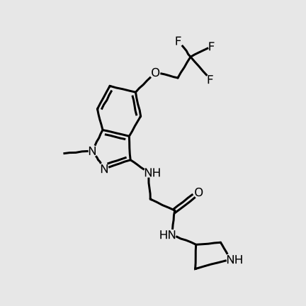 Cn1nc(NCC(=O)NC2CNC2)c2cc(OCC(F)(F)F)ccc21